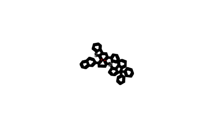 c1ccc(C2(c3ccccc3)c3ccccc3-c3c(N(c4ccc(-c5ccc6ccccc6c5)cc4)c4ccccc4-c4ccc5sc6ccccc6c5c4)cccc32)cc1